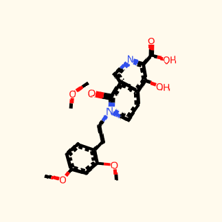 COC.COc1ccc(CCn2ccc3c(O)c(C(=O)O)ncc3c2=O)c(OC)c1